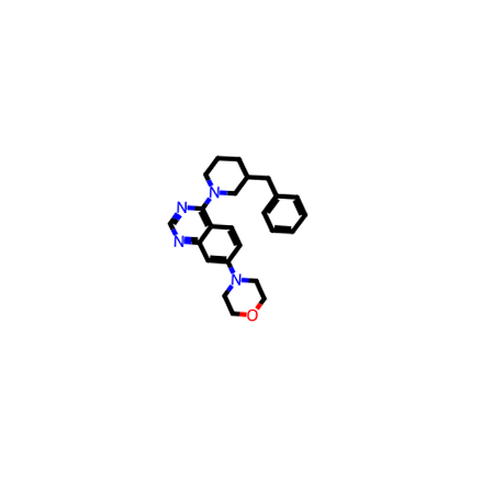 c1ccc(CC2CCCN(c3ncnc4cc(N5CCOCC5)ccc34)C2)cc1